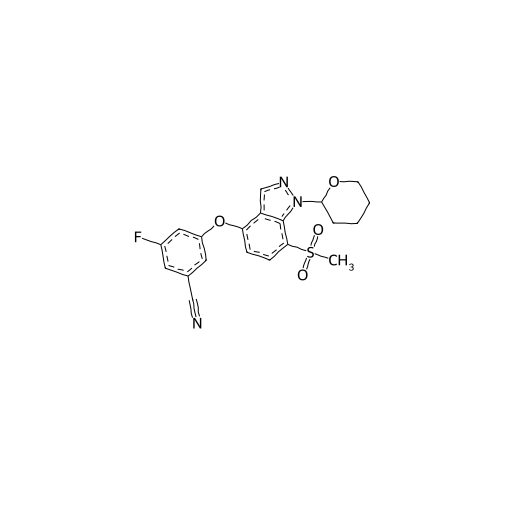 CS(=O)(=O)c1ccc(Oc2cc(F)cc(C#N)c2)c2cnn(C3CCCCO3)c12